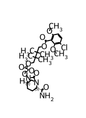 COc1ccc(Cl)c(OC)c1C(=O)OCC(C)(C)C(C)(C)COS(=O)(=O)ON1C(=O)N2C[C@H]1CC[C@H]2C(N)=O